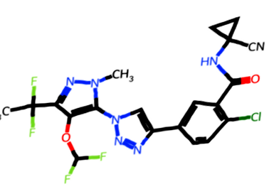 Cn1nc(C(F)(F)C(F)(F)F)c(OC(F)F)c1-n1cc(-c2ccc(Cl)c(C(=O)NC3(C#N)CC3)c2)nn1